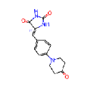 O=C1CCN(c2ccc(/C=C3\NC(=O)NC3=O)cc2)CC1